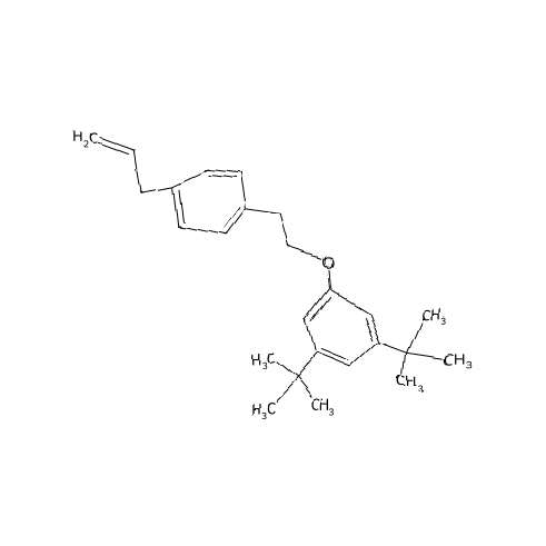 C=CCc1ccc(CCOc2cc(C(C)(C)C)cc(C(C)(C)C)c2)cc1